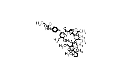 CCOC(=O)Nc1ccc(C[C@@H](C[C@H](C)C(=O)O)NC(=O)c2csc([C@@H](C[C@H](C(C)C)N(C)C(=O)[C@@H](NC(=O)[C@@]3(C)CCCN3C)[C@@H](C)CC)OC(C)=O)n2)cc1